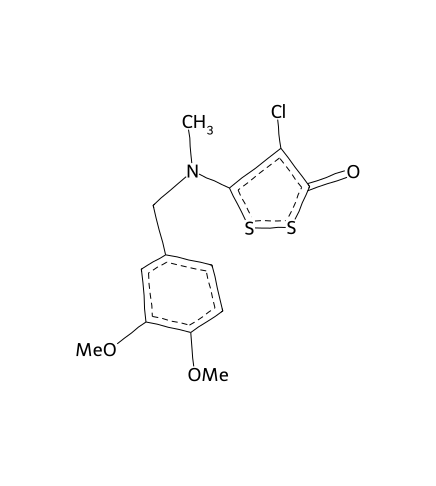 COc1ccc(CN(C)c2ssc(=O)c2Cl)cc1OC